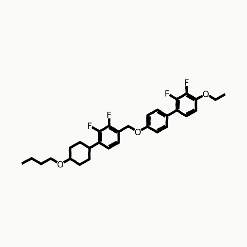 CCCCOC1CCC(c2ccc(COc3ccc(-c4ccc(OCC)c(F)c4F)cc3)c(F)c2F)CC1